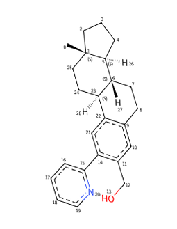 C[C@@]12CCC[C@H]1[C@@H]1CCc3cc(CO)c(-c4ccccn4)cc3[C@H]1CC2